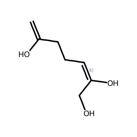 C=C(O)CC/C=C(/O)CO